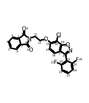 O=C1c2ccccc2C(=O)N1CCOc1ccc2c(-c3c(F)cccc3F)noc2c1Cl